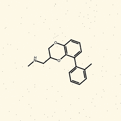 CNCC1COc2cccc(-c3ccccc3C)c2O1